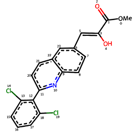 COC(=O)C(O)=Cc1ccc2nc(-c3c(Cl)cccc3Cl)ccc2c1